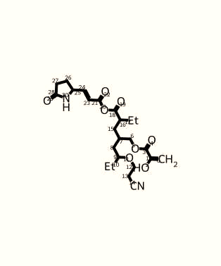 C=C(O)C(=O)OCC(CC(CC)OCCC#N)CC(CC)C(=O)OC(=O)/C=C/C1CCC(=O)N1